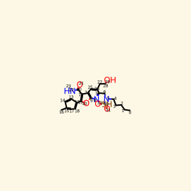 CCCCCN(Cc1nc2oc(-c3ccc(C)cc3)c(C(=O)NC)c2cc1CCO)[SH](=O)=O